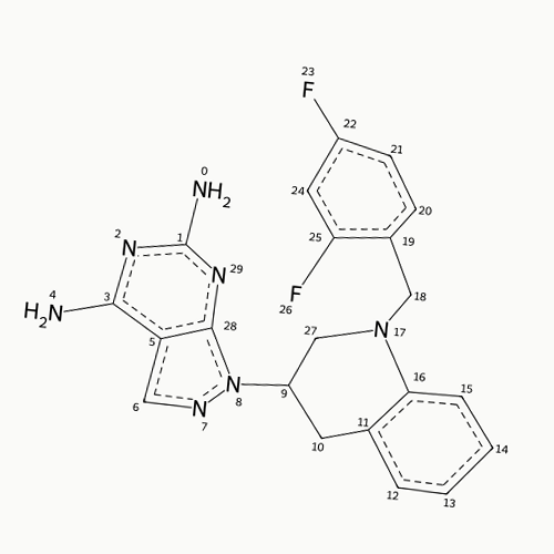 Nc1nc(N)c2cnn(C3Cc4ccccc4N(Cc4ccc(F)cc4F)C3)c2n1